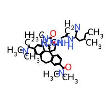 C=C(CN[C@H](C)CC1(c2nn(C)c(=O)[nH]2)c2ccc(C(=C)N(C)C)cc2CCc2cc(C(=O)N(C)C)ccc21)NC(C#N)C[C@@H](C)CC